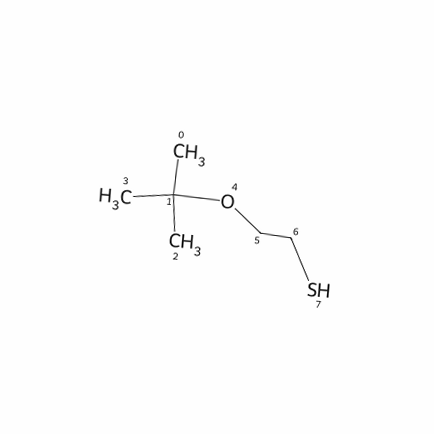 CC(C)(C)OCCS